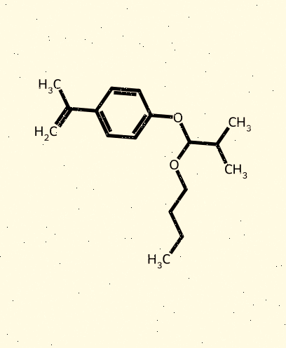 C=C(C)c1ccc(OC(OCCCC)C(C)C)cc1